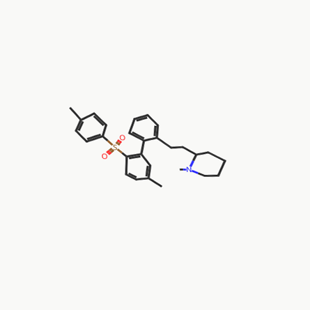 Cc1ccc(S(=O)(=O)c2ccc(C)cc2-c2ccccc2CCC2CCCCN2C)cc1